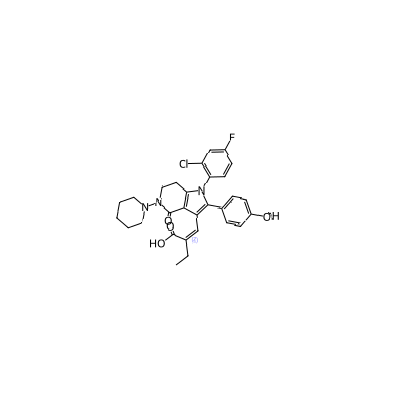 CC/C(=C/c1c2c(n(-c3ccc(F)cc3Cl)c1-c1ccc(O)cc1)CCN(N1CCCCC1)C2=O)C(=O)O